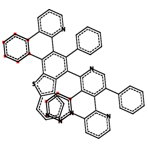 c1ccc(-c2cccnc2-c2c(-c3ccccc3)cnc(-c3c(-c4ccccc4)c(-c4ncccc4-c4ccccc4)c(-c4ccccc4)c4sc5ccccc5c34)c2-c2ccnnn2)cc1